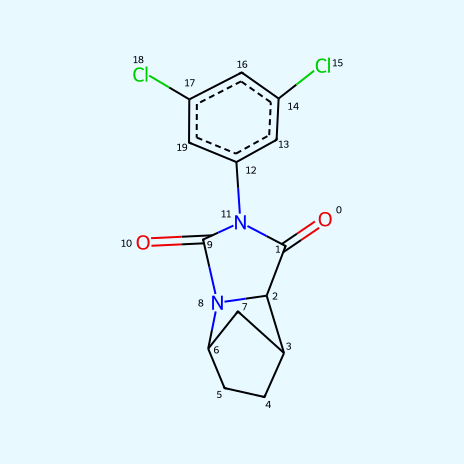 O=C1C2C3CCC(C3)N2C(=O)N1c1cc(Cl)cc(Cl)c1